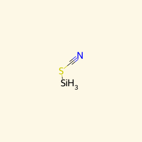 N#CS[SiH3]